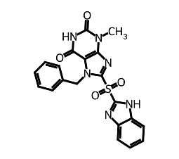 Cn1c(=O)[nH]c(=O)c2c1nc(S(=O)(=O)c1nc3ccccc3[nH]1)n2Cc1ccccc1